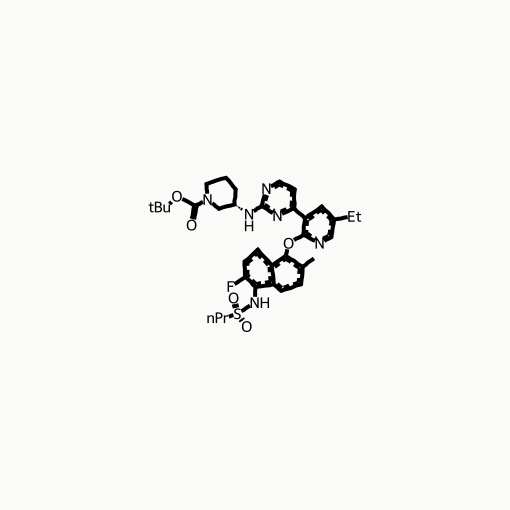 CCCS(=O)(=O)Nc1c(F)ccc2c(Oc3ncc(CC)cc3-c3ccnc(N[C@H]4CCCN(C(=O)OC(C)(C)C)C4)n3)c(C)ccc12